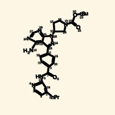 CCCc1ccnc(NC(=O)c2ccc(-c3nn(C4CCN(C(=O)OC(C)(C)C)C4)c4ncnc(N)c34)cc2)c1